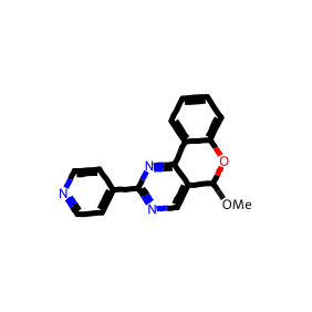 COC1Oc2ccccc2-c2nc(-c3ccncc3)ncc21